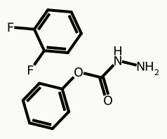 Fc1ccccc1F.NNC(=O)Oc1ccccc1